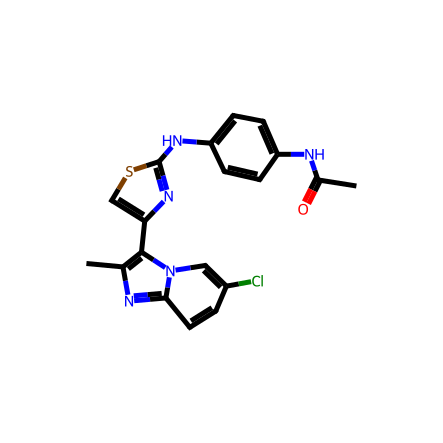 CC(=O)Nc1ccc(Nc2nc(-c3c(C)nc4ccc(Cl)cn34)cs2)cc1